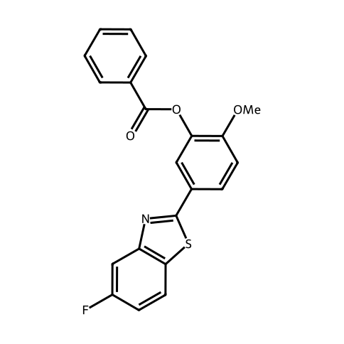 COc1ccc(-c2nc3cc(F)ccc3s2)cc1OC(=O)c1ccccc1